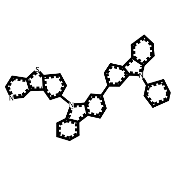 c1ccc(-n2c3ccccc3c3ccc(-c4ccc5c6ccccc6n(-c6ccc7sc8ccncc8c7c6)c5c4)cc32)cc1